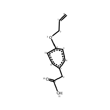 C=CCOc1ccc(CC(=O)O)cc1